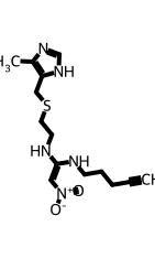 C#CCCCNC(=C[N+](=O)[O-])NCCSCc1[nH]cnc1C